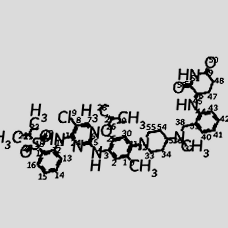 Cc1cc(Nc2ncc(Cl)c(Nc3ccccc3S(=O)(=O)C(C)C)n2)c(OC(C)C)cc1N1CCC(N(C)Cc2ccccc2NC2CCC(=O)NC2=O)CC1